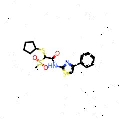 CS(=O)(=O)C(SC1CCCC1)C(=O)Nc1nc(-c2ccccc2)cs1